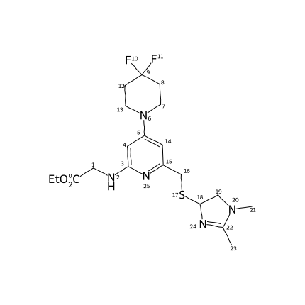 CCOC(=O)CNc1cc(N2CCC(F)(F)CC2)cc(CSC2CN(C)C(C)=N2)n1